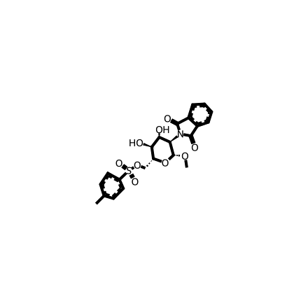 CO[C@@H]1O[C@H](COS(=O)(=O)c2ccc(C)cc2)[C@@H](O)[C@H](O)[C@H]1N1C(=O)c2ccccc2C1=O